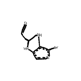 O=CC1Nc2csc(Br)c2N1